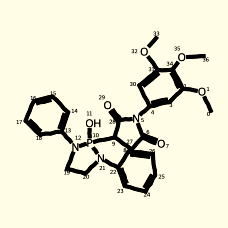 COc1cc(N2C(=O)CC([P]3(O)N(c4ccccc4)CCN3c3ccccc3)C2=O)cc(OC)c1OC